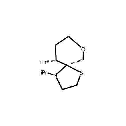 CC(C)[C@@H]1CCOC[C@@]12SCCN2C(C)C